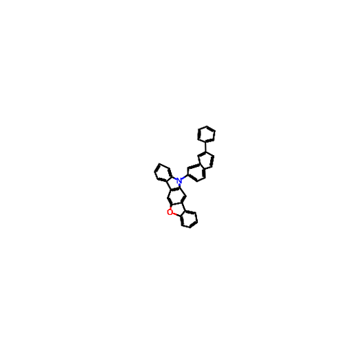 c1ccc(-c2ccc3ccc(-n4c5ccccc5c5cc6oc7ccccc7c6cc54)cc3c2)cc1